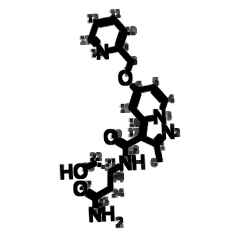 Cc1nn2ccc(OCc3ccccn3)cc2c1C(=O)N[C@@H](CO)CC(N)=O